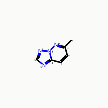 Cc1ccc2ncnn2n1